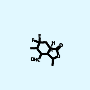 CC1OC(=O)[C@@H]2CC(F)(F)C(C)C(C=O)C12